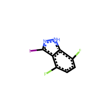 Fc1ccc(F)c2c(I)n[nH]c12